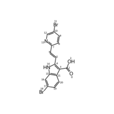 O=C(O)c1c(/C=C/c2ccc(Br)cn2)[nH]c2cc(Br)ccc12